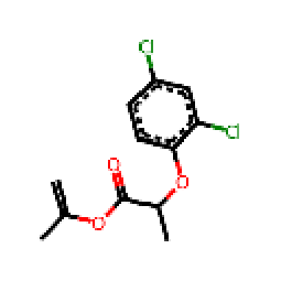 C=C(C)OC(=O)C(C)Oc1ccc(Cl)cc1Cl